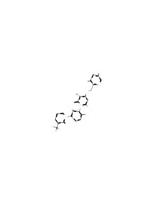 Cc1ccc(-n2cccc(C(C)(C)O)c2=O)c(F)c1-n1c(C)cc(OCc2ncc(F)cc2F)c(Cl)c1=O